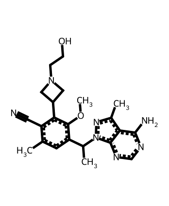 COc1c(C(C)n2nc(C)c3c(N)ncnc32)cc(C)c(C#N)c1C1CN(CCO)C1